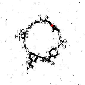 Cc1cc2ccc1CCS(=O)(=O)N1CCC3(CC1)N=C(NC3=O)c1cc(cc(C(F)(F)F)c1)OCC[C@H](O)[C@H](O)COCCN(C)C2=O